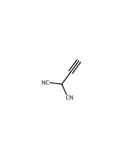 C#C[C](C#N)C#N